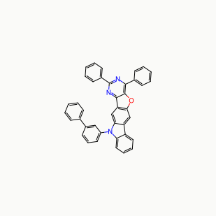 c1ccc(-c2cccc(-n3c4ccccc4c4cc5oc6c(-c7ccccc7)nc(-c7ccccc7)nc6c5cc43)c2)cc1